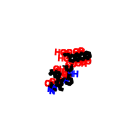 CCc1cc(CN2CCCCC2C(=O)N[C@H]2C[C@H](O[C@H]3C[C@](O)(C(=O)CO)Cc4c(O)c5c(c(O)c43)C(=O)c3c(OC)cccc3C5=O)O[C@@H](C)[C@H]2O)c(-c2cc(C(C)C)c(O)cc2O)cc1-n1cnnc1C(=O)O